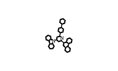 c1ccc(-c2ccc(-c3cc(-n4c5ccccc5c5ccccc54)cc(-c4cc5ccccc5c5ccccc45)n3)cc2)cc1